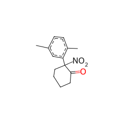 Cc1ccc(C)c(C2([N+](=O)[O-])CCCCC2=O)c1